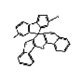 Brc1ccc2c(c1)C1(c3cc(Br)ccc3-2)c2ccc3ccccc3c2Nc2c1ccc1ccccc21